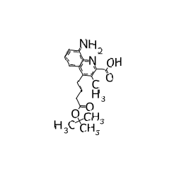 Cc1c(C(=O)O)nc2c(N)cccc2c1CCCC(=O)OC(C)(C)C